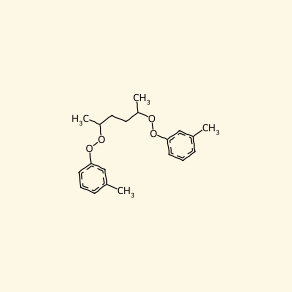 Cc1cccc(OOC(C)CCC(C)OOc2cccc(C)c2)c1